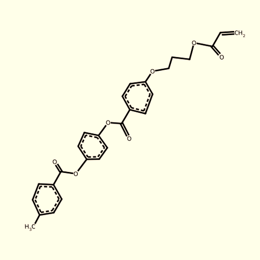 C=CC(=O)OCCCOc1ccc(C(=O)Oc2ccc(OC(=O)c3ccc(C)cc3)cc2)cc1